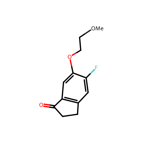 COCCOc1cc2c(cc1F)CCC2=O